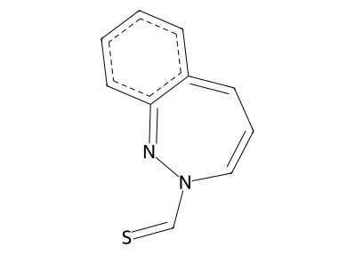 S=CN1C=CC=c2ccccc2=N1